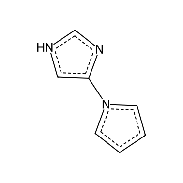 c1ccn(-c2c[nH]cn2)c1